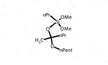 CCCCCOC(C)(CCC)O[Si](CCC)(OC)OC